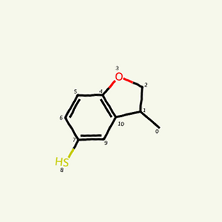 CC1COc2ccc(S)cc21